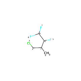 CC(CCl)C(F)C(F)F